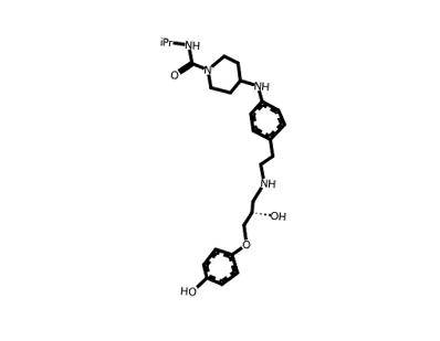 CC(C)NC(=O)N1CCC(Nc2ccc(CCNC[C@H](O)COc3ccc(O)cc3)cc2)CC1